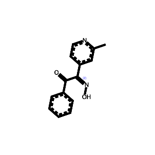 Cc1cc(/C(=N/O)C(=O)c2ccccc2)ccn1